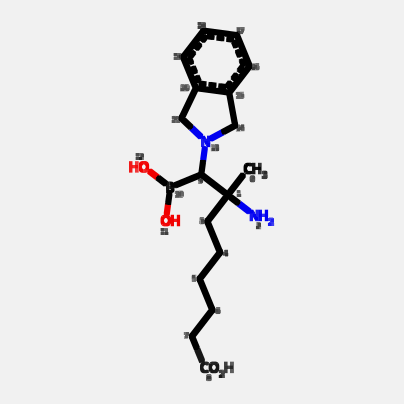 CC(N)(CCCCCC(=O)O)C(B(O)O)N1Cc2ccccc2C1